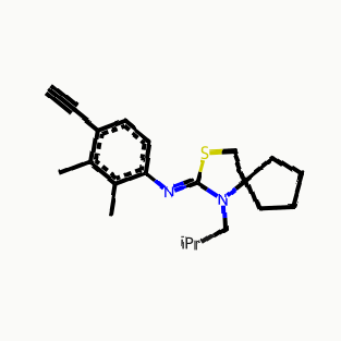 C#Cc1ccc(N=C2SCC3(CCCC3)N2CC(C)C)c(C)c1C